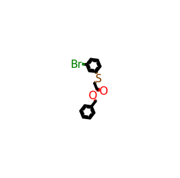 O=C(CSc1cccc(Br)c1)OCc1ccccc1